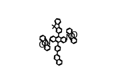 CC1(C)c2ccccc2-c2ccc(-c3c4ccc(N5c6ccccc6Oc6ccccc65)cc4c(-c4ccc(-c5ccc6ccccc6c5)cc4)c4ccc(N5c6ccccc6Oc6ccccc65)cc34)cc21